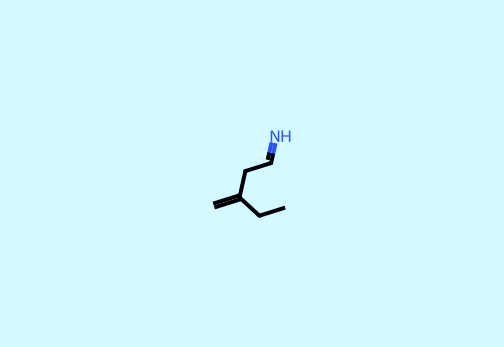 C=C(CC)CC=N